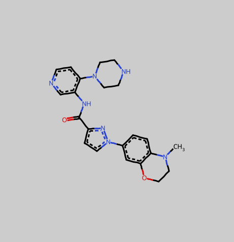 CN1CCOc2cc(-n3ccc(C(=O)Nc4cnccc4N4CCNCC4)n3)ccc21